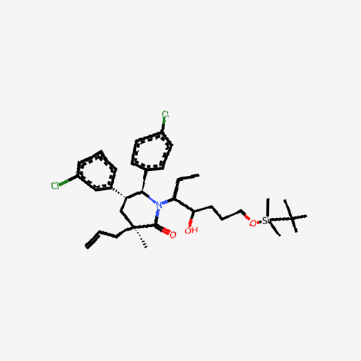 C=CC[C@@]1(C)C[C@H](c2cccc(Cl)c2)[C@@H](c2ccc(Cl)cc2)N(C(CC)C(O)CCCO[Si](C)(C)C(C)(C)C)C1=O